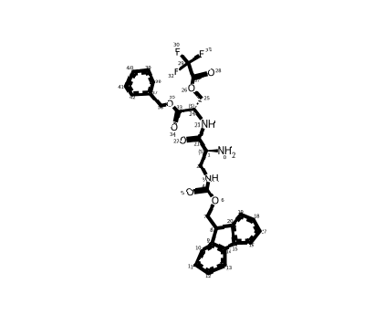 N[C@@H](CNC(=O)OCC1c2ccccc2-c2ccccc21)C(=O)N[C@@H](COC(=O)C(F)(F)F)C(=O)OCc1ccccc1